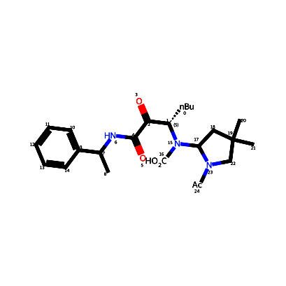 CCCC[C@@H](C(=O)C(=O)NC(C)c1ccccc1)N(C(=O)O)C1CC(C)(C)CN1C(C)=O